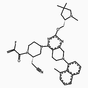 C=C(F)C(=O)N1CCN(c2nc(OC[C@@H]3CC(C)(C)CN3C)nc3c2CCN(c2cccc4cccc(C)c24)C3)C[C@@H]1CC#N